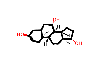 C[C@]12CC[C@H]3[C@@H]([C@@H](O)CC4CC(O)=CC[C@@]43C)[C@@H]1CC[C@@H]2O